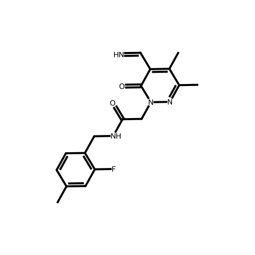 Cc1ccc(CNC(=O)Cn2nc(C)c(C)c(C=N)c2=O)c(F)c1